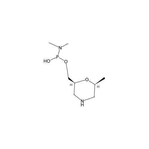 C[C@H]1CNC[C@@H](COP(O)N(C)C)O1